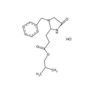 CC(C)COC(=O)CCC1NC(=O)CN1Cc1ccccc1.Cl